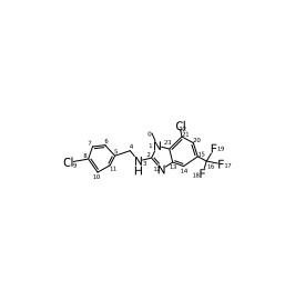 Cn1c(NCc2ccc(Cl)cc2)nc2cc(C(F)(F)F)cc(Cl)c21